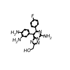 Nc1ccc(-c2c(-c3ccc(F)cc3)nc(N)n3nc(CO)nc23)cc1N